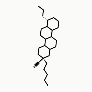 CCCCC[C@@]1(C#N)CCC2C(CCC3C2CCC2C3CCC[C@H]2CCC)C1